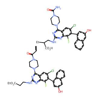 C=CC(=O)N1CCN(c2nc(NCCC(=O)OCC)nc3c(F)c(-c4cc(O)cc5ccccc45)c(Cl)cc23)CC1.CCC(CNc1nc(N2CCN(C(N)=O)CC2)c2cc(Cl)c(-c3cc(O)cc4ccccc34)c(F)c2n1)C(=O)O